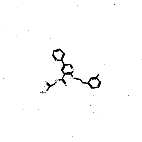 CNC(=O)CNC(=O)c1cc(-c2ccccc2)cnc1NCCc1cccc(F)c1